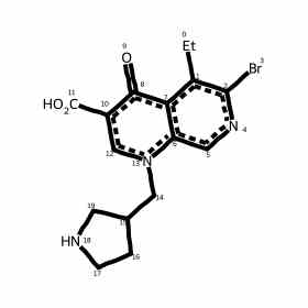 CCc1c(Br)ncc2c1c(=O)c(C(=O)O)cn2CC1CCNC1